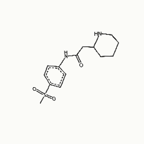 CS(=O)(=O)c1ccc(NC(=O)CC2CCCCN2)cc1